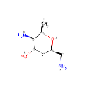 C[C@H]1O[C@@H](CN)C[C@H](O)[C@H]1N